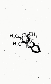 C=C1C=CC=C/C1=N/C(/C=C/C)=C(\C)N(C)C